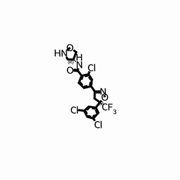 O=C(N[C@@H]1CNOC1)c1ccc(C2=NO[C@@](c3cc(Cl)cc(Cl)c3)(C(F)(F)F)C2)cc1Cl